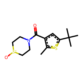 Cc1sc(C(C)(C)C)cc1C(=O)N1CC[S+]([O-])CC1